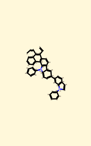 C=Cc1c(/C=C\C)c2ccccc2c2c1ccc1c3cc(-c4ccc5ccn(-c6ccccc6)c5c4)ccc3n(-c3ccccc3)c12